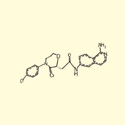 Nc1nccc2cc(NC(=O)C[C@H]3OCCN(c4ccc(Cl)cc4)C3=O)ccc12